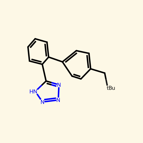 CC(C)(C)Cc1ccc(-c2ccccc2-c2nnn[nH]2)cc1